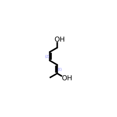 C/C(O)=C\C=C/CO